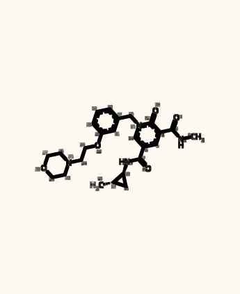 CNC(=O)c1cc(C(=O)N[C@H]2C[C@@H]2C)cn(Cc2cccc(OCCN3CCOCC3)c2)c1=O